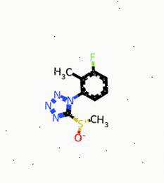 Cc1c(F)cccc1-n1nnnc1[S+](C)[O-]